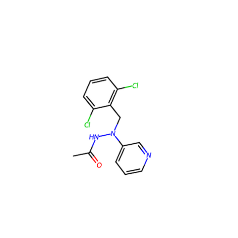 CC(=O)NN(Cc1c(Cl)cccc1Cl)c1cccnc1